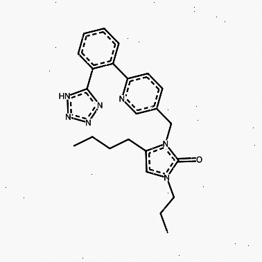 CCCCc1cn(CCC)c(=O)n1Cc1ccc(-c2ccccc2-c2nnn[nH]2)nc1